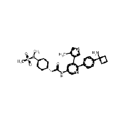 Cc1cscc1-c1cc(NC(=O)C[C@H]2CC[C@H](N(C)S(C)(=O)=O)CC2)cnc1-c1ccc(C2(N)CCC2)cc1